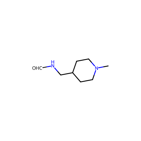 CN1CCC(CNC=O)CC1